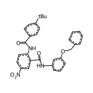 CC(C)(C)c1ccc(C(=O)Nc2ccc([N+](=O)[O-])cc2C(=O)Nc2cccc(OCc3ccccc3)c2)cc1